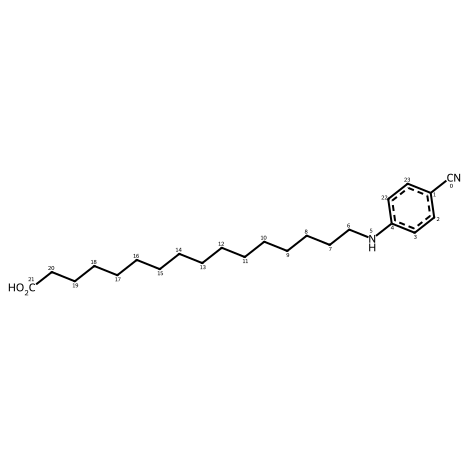 N#Cc1ccc(NCCCCCCCCCCCCCCCC(=O)O)cc1